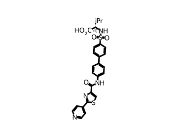 CC(C)[C@H](NS(=O)(=O)c1ccc(-c2ccc(NC(=O)c3csc(-c4ccncc4)n3)cc2)cc1)C(=O)O